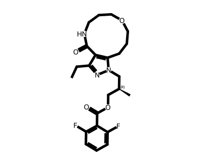 CCc1nn(C[C@@H](C)COC(=O)c2c(F)cccc2F)c2c1C(=O)NCCCOCCC2